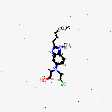 CCOC(=O)CCCc1nc2cc(N(CCO)CCCl)ccc2n1C